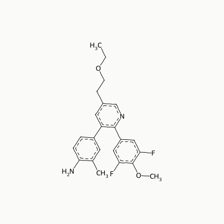 CCOCCc1cnc(-c2cc(F)c(OC)c(F)c2)c(-c2ccc(N)c(C)c2)c1